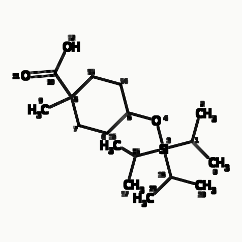 CC(C)[Si](OC1CCC(C)(C(=O)O)CC1)(C(C)C)C(C)C